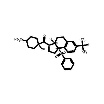 O=C(O)[C@H]1CC[C@](O)(C(=O)N2CC[C@@]3(S(=O)(=O)c4ccccc4)c4ccc(C(F)(C(F)(F)F)C(F)(F)F)cc4CC[C@@H]23)CC1